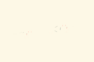 C=CC(=O)OCCCCCCOc1ccc(OC(=O)C2CCCCC2)cc1